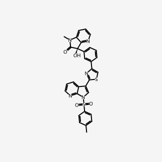 Cc1ccc(S(=O)(=O)n2cc(-c3nc(-c4cccc([C@]5(O)C(=O)N(C)c6cccnc65)c4)cs3)c3cccnc32)cc1